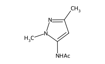 CC(=O)Nc1cc(C)nn1C